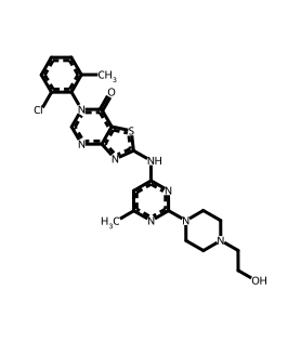 Cc1cc(Nc2nc3ncn(-c4c(C)cccc4Cl)c(=O)c3s2)nc(N2CCN(CCO)CC2)n1